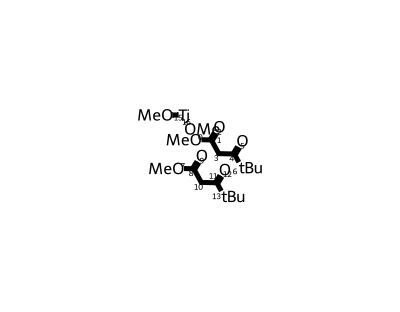 COC(=O)CC(=O)C(C)(C)C.COC(=O)CC(=O)C(C)(C)C.C[O][Ti][O]C